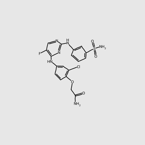 NC(=O)COc1ccc(Nc2nc(Nc3cccc(S(N)(=O)=O)c3)ncc2F)cc1Cl